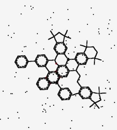 Cc1cc2c(cc1CCC1c3cc4c(cc3B(c3cc5c(cc3C(C)c3ccc(-c6ccccc6)cc3-c3ccccc3)C(C)(C)CC5(C)C)c3c(C)cc(N(c5ccccc5)c5ccccc5)cc31)C(C)(C)CCC4(C)C)C(C)(C)CC2(C)C